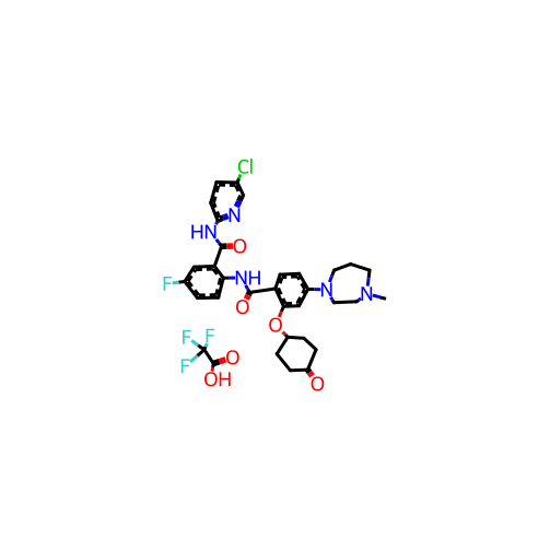 CN1CCCN(c2ccc(C(=O)Nc3ccc(F)cc3C(=O)Nc3ccc(Cl)cn3)c(OC3CCC(=O)CC3)c2)CC1.O=C(O)C(F)(F)F